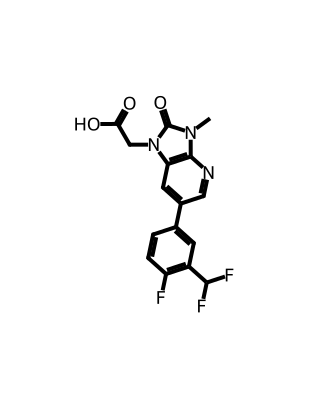 Cn1c(=O)n(CC(=O)O)c2cc(-c3ccc(F)c(C(F)F)c3)cnc21